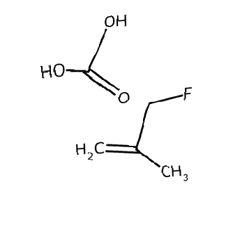 C=C(C)CF.O=C(O)O